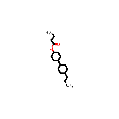 CCCC(=O)OC1CCC(C2CCC(CCC)CC2)CC1